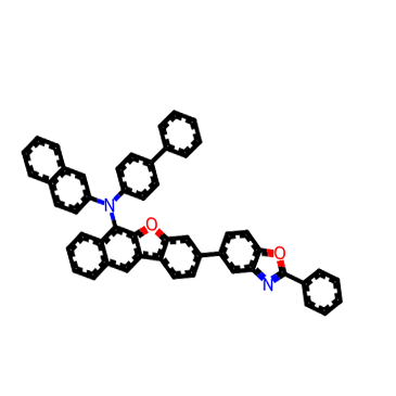 c1ccc(-c2ccc(N(c3ccc4ccccc4c3)c3c4ccccc4cc4c3oc3cc(-c5ccc6oc(-c7ccccc7)nc6c5)ccc34)cc2)cc1